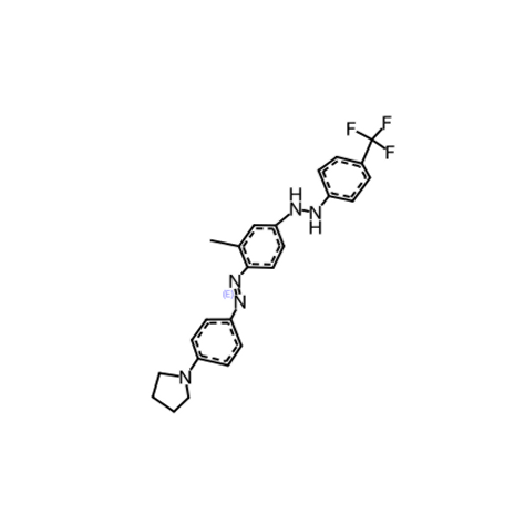 Cc1cc(NNc2ccc(C(F)(F)F)cc2)ccc1/N=N/c1ccc(N2CCCC2)cc1